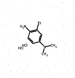 CCc1cc(N(C)C)ccc1N.Cl.Cl